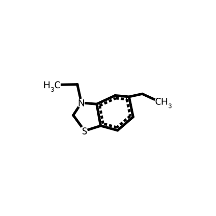 CCc1ccc2c(c1)N(CC)CS2